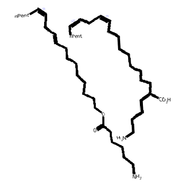 CCCCC/C=C\C/C=C\CCCCCCCCC(CCCCN)C(=O)O.CCCCC/C=C\CC=CCCCCCCCCOC(=O)CCCCCN